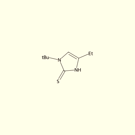 CCc1cn(C(C)(C)C)c(=S)[nH]1